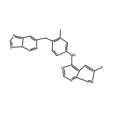 Cc1cc(Nc2ncnc3cnc(F)cc23)ccc1Cc1ccn2ncnc2c1